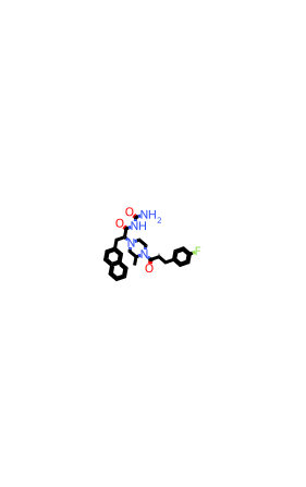 CC1CN(C(Cc2ccc3ccccc3c2)C(=O)NC(N)=O)CCN1C(=O)[CH]Cc1ccc(F)cc1